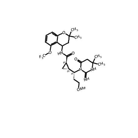 COCC[C@H]([C@@H]1C[C@H]1C(=O)NC1CC(C)(C)Oc2cccc(OC(F)(F)F)c21)N1C(=N)NC(C)(C)CC1=O